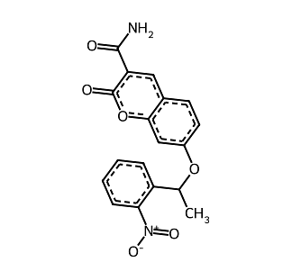 CC(Oc1ccc2cc(C(N)=O)c(=O)oc2c1)c1ccccc1[N+](=O)[O-]